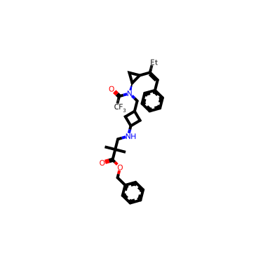 CCC(=Cc1ccccc1)C1C[C@@H]1N(CC1CC(NCC(C)(C)C(=O)OCc2ccccc2)C1)C(=O)C(F)(F)F